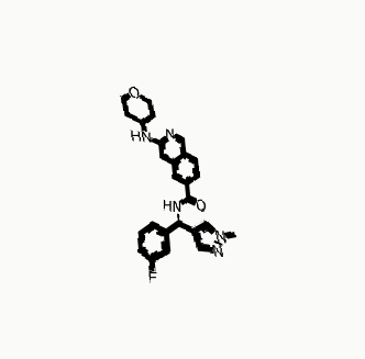 Cn1cc([C@@H](NC(=O)c2ccc3cnc(NC4CCOCC4)cc3c2)c2cccc(F)c2)cn1